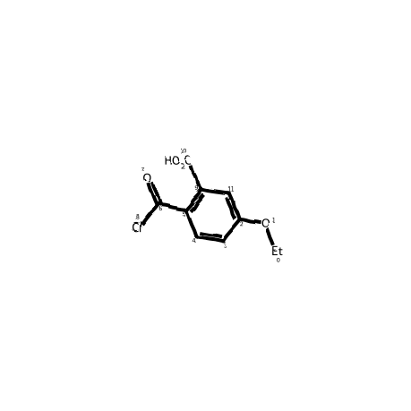 CCOc1ccc(C(=O)Cl)c(C(=O)O)c1